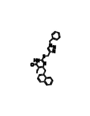 O=c1[nH]c(SCc2cn(Cc3ccccc3)nn2)nc(Cc2cccc3ccccc23)c1I